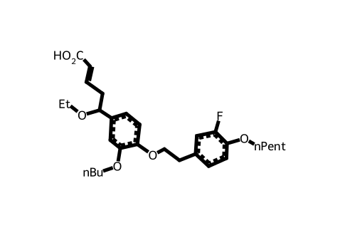 CCCCCOc1ccc(CCOc2ccc(C(CC=CC(=O)O)OCC)cc2OCCCC)cc1F